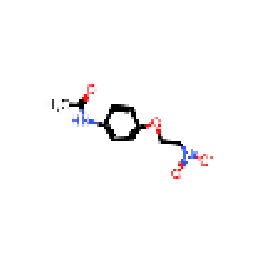 CC(=O)Nc1ccc(OCC[N+](=O)[O-])cc1